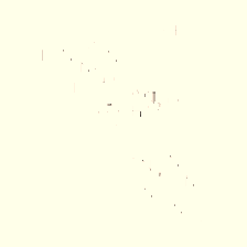 CC[C@H]1O[C@@H](n2ccc(N)nc2=O)C(OC)[C@H]1OP(=O)(O)OC[C@H]1O[C@@H](n2cnc3c(N)ncnc32)C(F)[C@H]1OP(=O)(O)OC